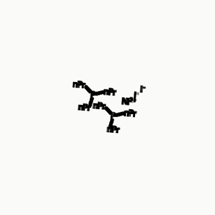 CCCP(CCC)CCC.CCCP(CCC)CCC.[I-].[I-].[Ni+2]